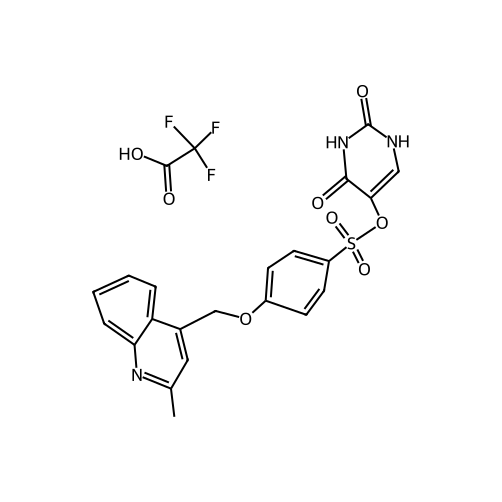 Cc1cc(COc2ccc(S(=O)(=O)Oc3c[nH]c(=O)[nH]c3=O)cc2)c2ccccc2n1.O=C(O)C(F)(F)F